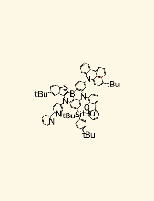 CC(C)(C)c1ccc(N(c2ccc3c(c2)N(c2cccc4c2oc2ccccc24)c2cc([Si](c4ccc(C(C)(C)C)cc4)(C(C)(C)C)C(C)(C)C)cc4c2B3c2sc3ccc(C(C)(C)C)cc3c2N4c2ccc(-c3ccccn3)nc2)c2ccccc2-c2ccccc2)cc1